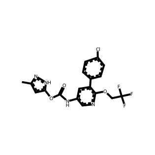 Cc1cc(OC(=O)Nc2cnc(OCC(F)(F)F)c(-c3ccc(Cl)cc3)c2)[nH]n1